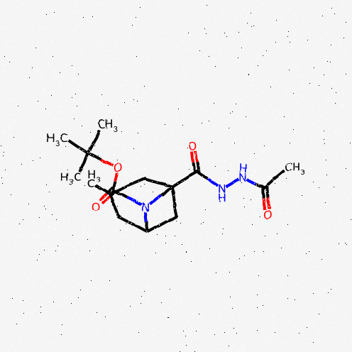 CC(=O)NNC(=O)C12CC(C)CC(C1)N2C(=O)OC(C)(C)C